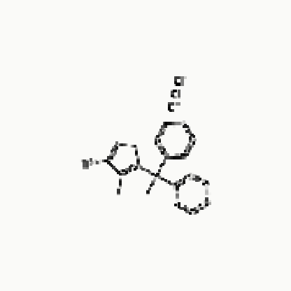 CC1=C(C(C)(c2ccccc2)c2ccccc2)CC=[C]1[Ti+3].[Cl-].[Cl-].[Cl-]